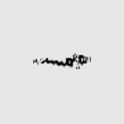 CCCCCCCCCCc1ccc(C(=O)NC2CCNCC2)cc1